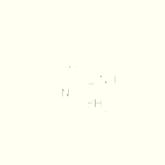 B[PH]1(N(C)C)NCCO1